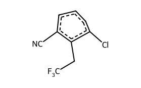 N#Cc1cccc(Cl)c1CC(F)(F)F